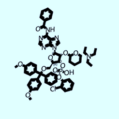 CCN(CC)CC.COc1ccc(C(OC[C@H]2O[C@@H](n3cnc4c(NC(=O)c5ccccc5)ncnc43)[C@H](OC3CCCCO3)[C@@H]2OP(=O)(O)Oc2ccccc2Cl)(c2ccccc2)c2ccc(OC)cc2)cc1